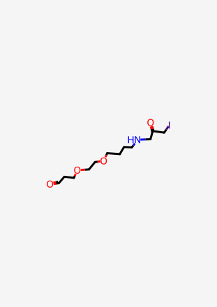 O=CCCOCCOCCCCNCC(=O)CI